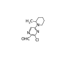 CC1CCCCN1c1cnc(C=O)c(Cl)n1